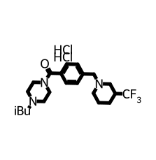 CCC(C)N1CCN(C(=O)c2ccc(CN3CCCC(C(F)(F)F)C3)cc2)CC1.Cl.Cl